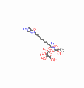 CC[C@@H](O)[C@@H](O)[C@H](CO[C@H]1OC(CO)[C@H](O)C(O)C1O)NC(=O)CCCCCCCCCCCNC(=O)C1CCNCC1